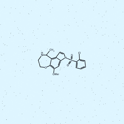 COc1cc2c(ccn2S(=O)(=O)c2ccccc2Cl)c2c1OCCNC2C